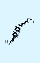 CC#Cc1ccc([C@H]2CC[C@H](CCCCCCC)CC2)nn1